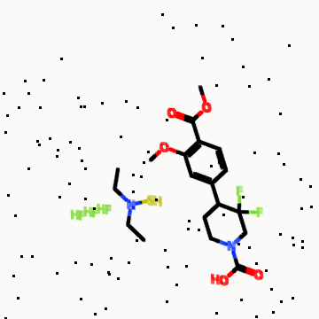 CCN(S)CC.COC(=O)c1ccc(C2CCN(C(=O)O)CC2(F)F)cc1OC.F.F.F